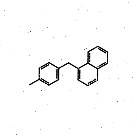 Cc1ccc(Cc2cc[c]c3ccccc23)cc1